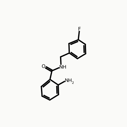 Nc1ccccc1C(=O)NCc1cccc(F)c1